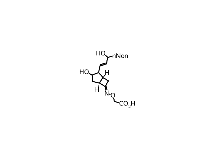 CCCCCCCCCC(O)C=CC1C(O)C[C@@H]2C(=NOCC(=O)O)C[C@@H]12